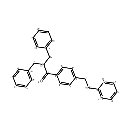 O=C(c1ccc(CNc2ncccn2)cc1)N(Cc1ccccc1)Cc1ccccc1